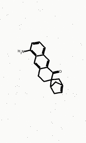 Nc1cccc2cc3c(cc12)CCC1(CC2=CCC1C2)C3=O